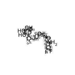 CCc1ccc([C@@H]2O[C@H](SC)[C@@H](O)[C@H](O)[C@H]2O)cc1Cc1ccc(O[C@H]2CCN(C(=O)C[C@@H](N)Cc3cc(F)c(F)cc3F)C2)cc1